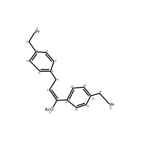 CC(=O)OC(=CCc1ccc(CC(C)C)cc1)c1ccc(CC(C)C)cc1